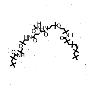 CC(=O)N[C@@H](CCC(=O)NCCC(C)(C)OCC(C)(C)NC(=O)C(C)(C)CC(C)(C)C)C(=O)NCCC(C)(C)OCCC(C)(C)NC(=O)C(C)(C)CC(C)(C)/C=C\C(C)(C)CC(C)(C)C